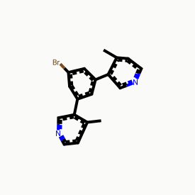 Cc1ccncc1-c1cc(Br)cc(-c2cnccc2C)c1